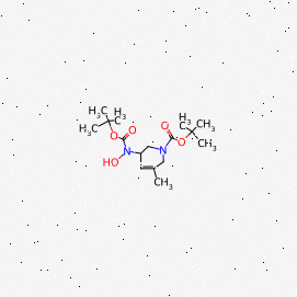 CC1=CC(N(O)C(=O)OC(C)(C)C)CN(C(=O)OC(C)(C)C)C1